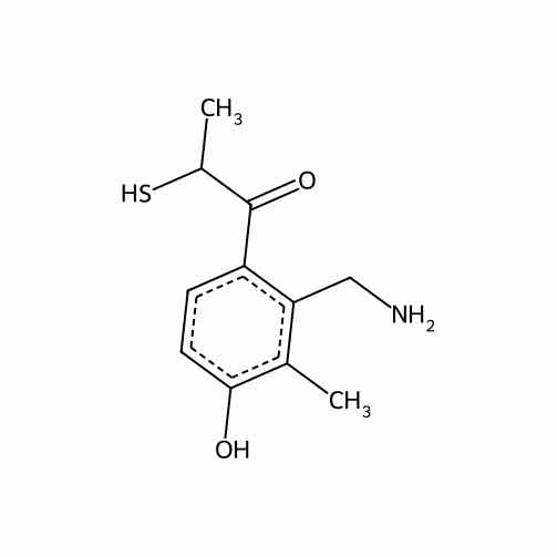 Cc1c(O)ccc(C(=O)C(C)S)c1CN